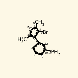 Cc1sc(C)c(-c2cccc(P)c2)c1Br